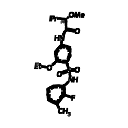 CCOc1cc(NC(=O)[C@@H](OC)C(C)C)ccc1S(=O)(=O)Nc1cccc(C)c1F